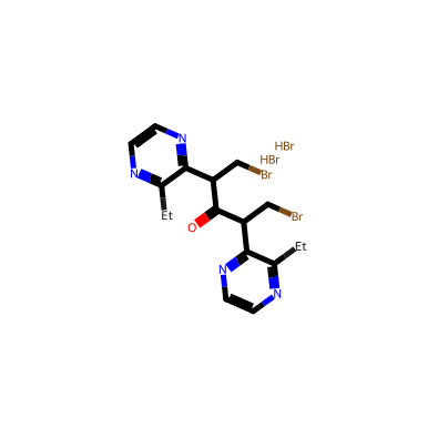 Br.Br.CCc1nccnc1C(CBr)C(=O)C(CBr)c1nccnc1CC